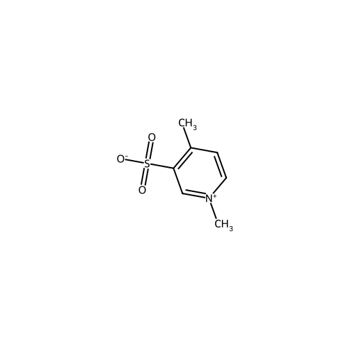 Cc1cc[n+](C)cc1S(=O)(=O)[O-]